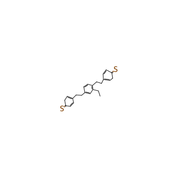 CCc1cc(CCC2=CCC(=S)C=C2)ccc1CCC1=CCC(=S)C=C1